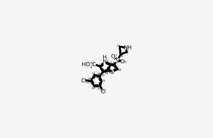 O=C(O)c1[nH]c2c(S(=O)(=O)C3CNC3)csc2c1-c1cc(Cl)cc(Cl)c1